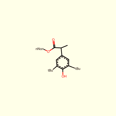 CCCCCCCCCOC(=O)C(C)c1cc(C(C)(C)C)c(O)c(C(C)(C)C)c1